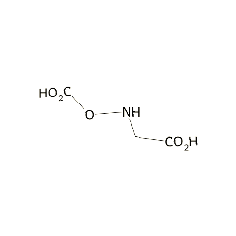 O=C(O)CNOC(=O)O